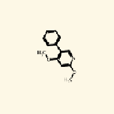 COc1cc(OC)c(-c2cc[c]cc2)cn1